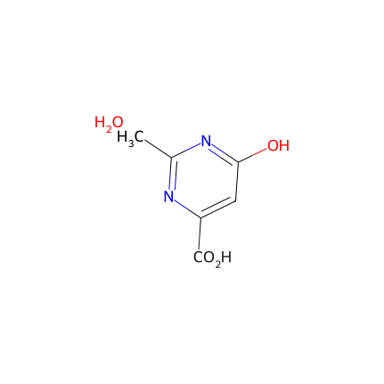 Cc1nc(O)cc(C(=O)O)n1.O